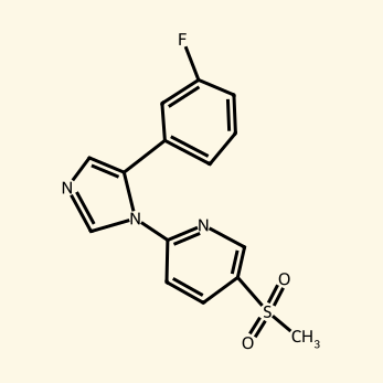 CS(=O)(=O)c1ccc(-n2cncc2-c2cccc(F)c2)nc1